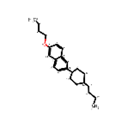 CCCCOc1ccc2cc(C3CCC(CCCC)CC3)ccc2c1